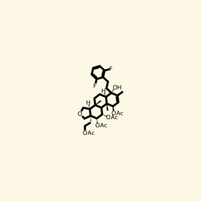 CC(=O)OCC[C@]12COC[C@H]1[C@]1(C)CC[C@@H]3[C@@](C)(C1[C@H](OC(C)=O)[C@@H]2OC(C)=O)[C@H](OC(C)=O)C=C(C)[C@]3(O)CCc1c(F)cccc1F